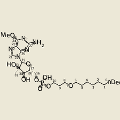 CCCCCCCCCCCCCCCCOCCCOP(=O)(O)OC[C@H]1OC(n2cnc3c(OC)nc(N)nc32)[C@](C)(O)[C@@H]1O